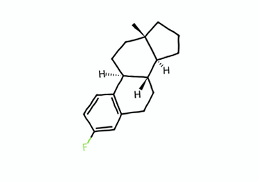 C[C@@]12CCC[C@H]1[C@@H]1CCc3cc(F)ccc3[C@H]1CC2